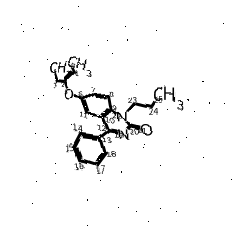 CC=C(CC)Oc1ccc2c(c1)c(-c1ccccc1)nc(=O)n2CCC